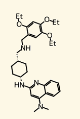 CCOc1cc(OCC)c(OCC)cc1CNC[C@H]1CC[C@@H](Nc2cc(N(C)C)c3ccccc3n2)CC1